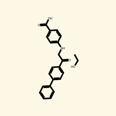 CCO.O=C(O)c1ccc(NCC(=O)c2ccc(-c3ccccc3)cc2)cc1